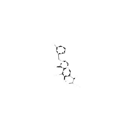 CC(C)C(=O)c1cn2ccn(Cc3cccc(Cl)c3)c(=O)c2c(O)c1=O